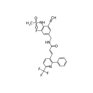 C#Cc1cc(CNC(=O)C=Cc2ccc(C(F)(F)F)nc2-c2ccccc2)cc(F)c1NS(C)(=O)=O